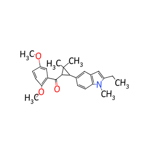 CCc1cc2cc(C3C(C(=O)c4cc(OC)ccc4OC)C3(C)C)ccc2n1C